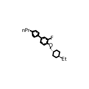 CCCc1ccc(-c2ccc(OC[C@H]3CC[C@H](CC)CC3)c(F)c2)cc1